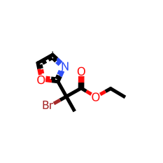 CCOC(=O)C(C)(Br)c1n[c]co1